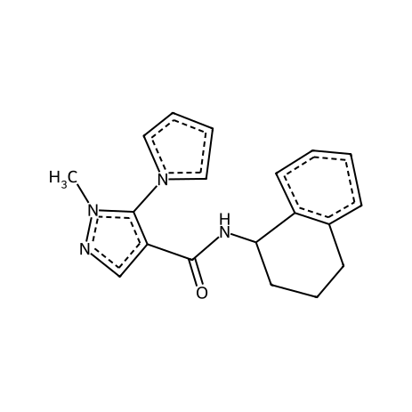 Cn1ncc(C(=O)NC2CCCc3ccccc32)c1-n1cccc1